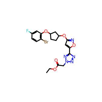 CCOC(=O)Cn1nnc(-c2cc(OC3CCC(Oc4cc(F)ccc4Br)C3)no2)n1